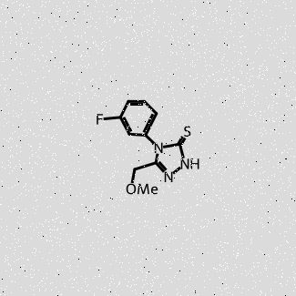 COCc1n[nH]c(=S)n1-c1cccc(F)c1